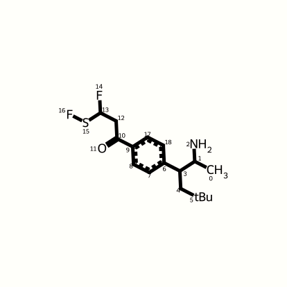 CC(N)C(CC(C)(C)C)c1ccc(C(=O)CC(F)SF)cc1